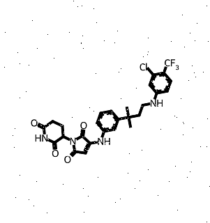 CC(C)(CCNc1ccc(C(F)(F)F)c(Cl)c1)c1cccc(NC2=CC(=O)N(C3CCC(=O)NC3=O)C2=O)c1